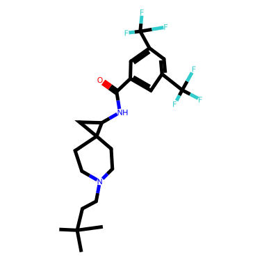 CC(C)(C)CCN1CCC2(CC1)CC2NC(=O)c1cc(C(F)(F)F)cc(C(F)(F)F)c1